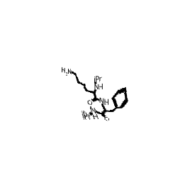 CC(C)NC(=O)C(Cc1ccccc1)NC(=O)C(CCCCN)NC(C)C